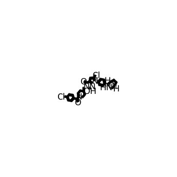 O=C(c1ccc(Cl)cc1)N1CCC(O)(Cn2cnc3c(cc(Cl)n3-c3ccc([C@@H]4NC[C@@H]5CC[C@H]4O5)cc3)c2=O)CC1